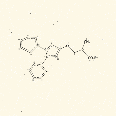 CCOC(=O)C(C)COc1cc(-c2ccccc2)n(-c2ccccc2)n1